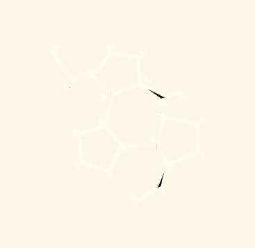 CC[C@@H]1CCCP1C1CCCC1P1[C@H](CC)CC[C@H]1CC